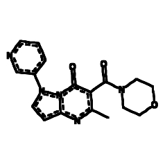 Cc1nc2ccn(-c3cccnc3)n2c(=O)c1C(=O)N1CCOCC1